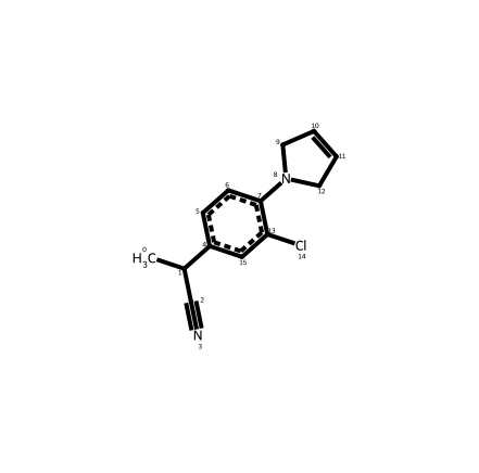 CC(C#N)c1ccc(N2CC=CC2)c(Cl)c1